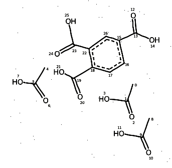 CC(=O)O.CC(=O)O.CC(=O)O.O=C(O)c1ccc(C(=O)O)c(C(=O)O)c1